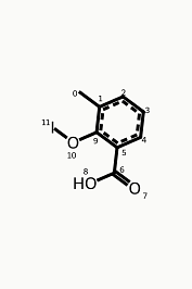 Cc1cccc(C(=O)O)c1OI